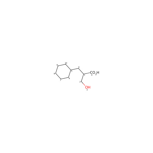 O=C(O)C(CO)CC1CCCCC1